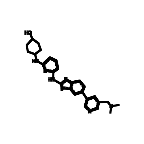 CN(C)Cc1cncc(-c2ccc3nc(Nc4cccc(NC5CCC(O)CC5)n4)sc3c2)c1